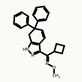 CO/N=C(/c1n[nH]c2c1C=CC(c1ccccc1)(c1ccccc1)C2)C1CCC1